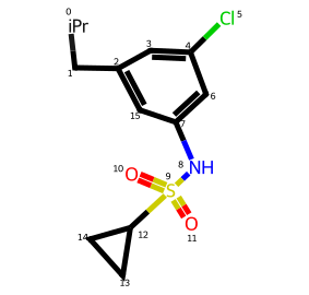 CC(C)Cc1cc(Cl)cc(NS(=O)(=O)C2CC2)c1